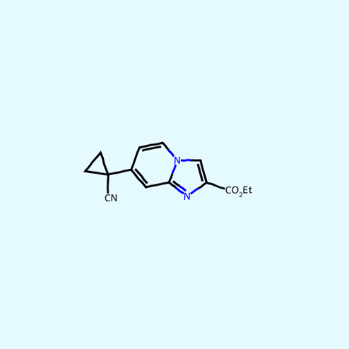 CCOC(=O)c1cn2ccc(C3(C#N)CC3)cc2n1